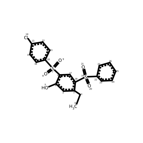 CCc1cc(O)c(S(=O)(=O)c2ccc(Cl)cc2)cc1S(=O)(=O)c1ccccc1